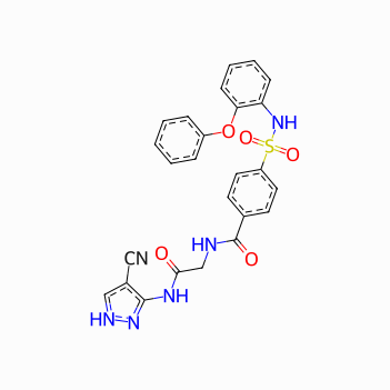 N#Cc1c[nH]nc1NC(=O)CNC(=O)c1ccc(S(=O)(=O)Nc2ccccc2Oc2ccccc2)cc1